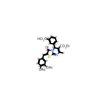 CCOC(=O)C1=C(C)N=c2s/c(=C\c3ccc(OC(C)=O)c(OC(C)=O)c3)c(=O)n2C1c1cccc(C(=O)O)c1